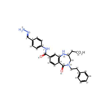 NN=Cc1ccc(NC(=O)c2ccc3c(c2)NC(CC(=O)O)CN(CCc2ccccc2)C3=O)cc1